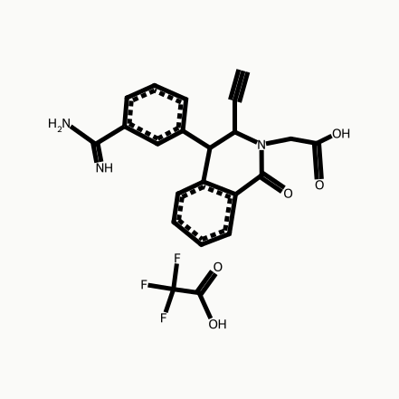 C#CC1C(c2cccc(C(=N)N)c2)c2ccccc2C(=O)N1CC(=O)O.O=C(O)C(F)(F)F